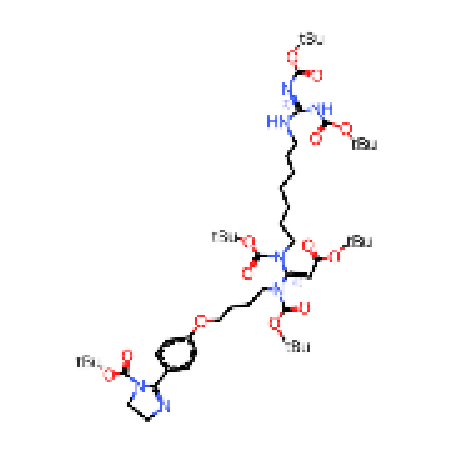 CC(C)(C)OC(=O)/C=C(\N(CCCCCCCN/C(=N/C(=O)OC(C)(C)C)NC(=O)OC(C)(C)C)C(=O)OC(C)(C)C)N(CCCCOc1ccc(C2=NCCN2C(=O)OC(C)(C)C)cc1)C(=O)OC(C)(C)C